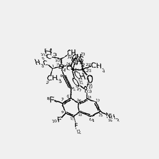 CC(C)[Si](C#Cc1c(F)c(F)c(F)c2cc(N)cc(B3OC(C)(C)C(C)(C)O3)c12)(C(C)C)C(C)C